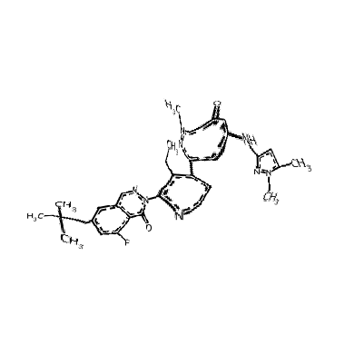 CCc1c(-c2cc(Nc3cc(C)n(C)n3)c(=O)n(C)n2)ccnc1-n1ncc2cc(C(C)(C)C)cc(F)c2c1=O